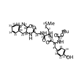 CSCC[C@@H](NC(=O)[C@H](Cc1ccc(O)cc1)NC(=O)OC(C)(C)C)C(=O)NCC(=O)N[C@@H](Cc1ccccc1)C(N)=O